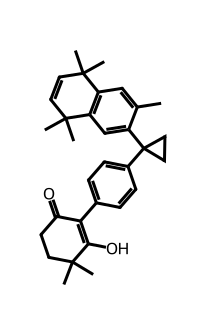 Cc1cc2c(cc1C1(c3ccc(C4=C(O)C(C)(C)CCC4=O)cc3)CC1)C(C)(C)C=CC2(C)C